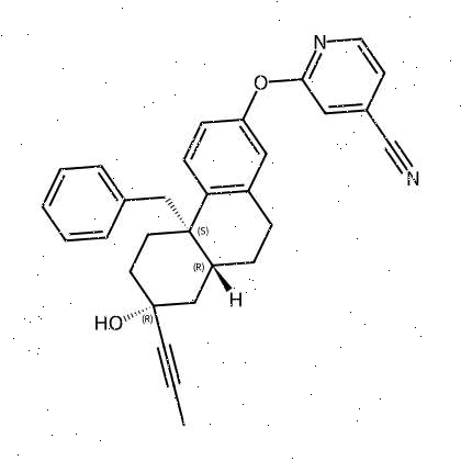 CC#C[C@@]1(O)CC[C@@]2(Cc3ccccc3)c3ccc(Oc4cc(C#N)ccn4)cc3CC[C@@H]2C1